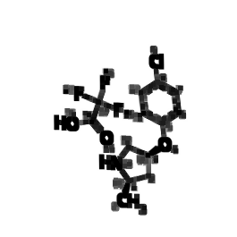 C[C@@H]1C[C@H](Oc2ccc(Cl)cc2)CN1.O=C(O)C(F)(F)F